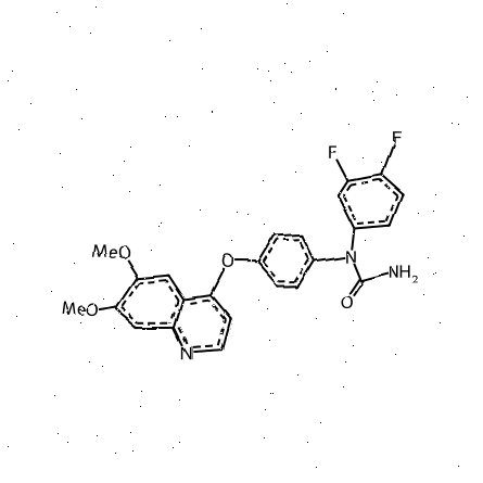 COc1cc2nccc(Oc3ccc(N(C(N)=O)c4ccc(F)c(F)c4)cc3)c2cc1OC